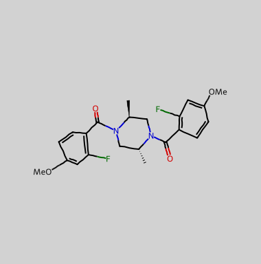 COc1ccc(C(=O)N2C[C@H](C)N(C(=O)c3ccc(OC)cc3F)C[C@H]2C)c(F)c1